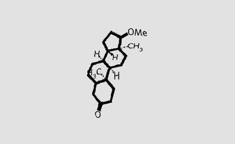 COC1CC[C@H]2[C@@H]3CCC4CC(=O)CC[C@]4(C)[C@@H]3CC[C@]12C